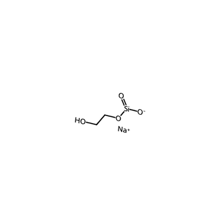 O=[Si]([O-])OCCO.[Na+]